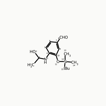 CC(O)Nc1ccc(C=O)cc1O[Si](C)(C)C(C)(C)C